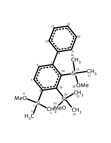 CO[Si](C)(C)c1ccc(-c2ccccc2)c([Si](C)(C)OC)c1[Si](C)(C)OC